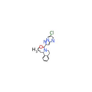 CCC1c2ccccc2CCN1C(=O)c1cc2ncc(Cl)cn2n1